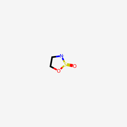 O=S1[N]CCO1